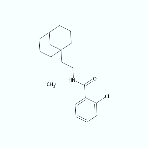 O=C(NCCC12CCCC(CCC1)C2)c1ccccc1Cl.[CH2]